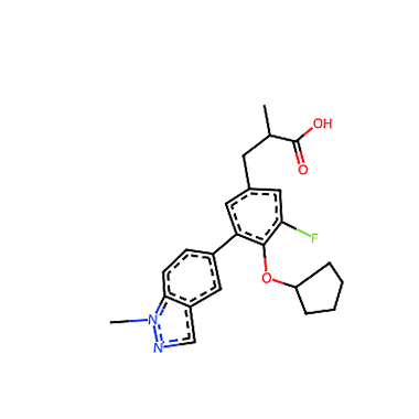 CC(Cc1cc(F)c(OC2CCCC2)c(-c2ccc3c(cnn3C)c2)c1)C(=O)O